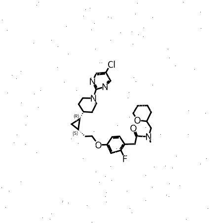 CN(CC1CCCCO1)C(=O)Cc1ccc(OCC[C@@H]2C[C@@H]2C2CCN(c3ncc(Cl)cn3)CC2)cc1F